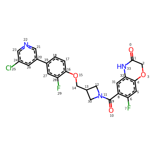 O=C1COc2cc(F)c(C(=O)N3CC(COc4ccc(-c5cncc(Cl)c5)cc4F)C3)cc2N1